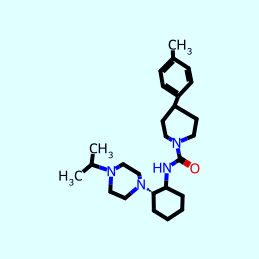 Cc1ccc(C2CCN(C(=O)NC3CCCC[C@@H]3N3CCN(C(C)C)CC3)CC2)cc1